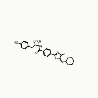 Cn1nc(-c2ccc(C(=O)N[C@@H](Cc3ccc(O)cc3)C(=O)O)cc2)s/c1=N/C1CCCCC1